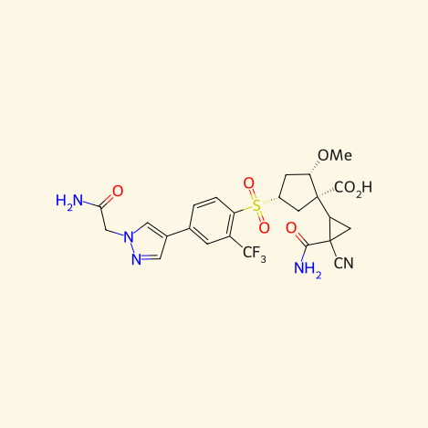 CO[C@H]1C[C@@H](S(=O)(=O)c2ccc(-c3cnn(CC(N)=O)c3)cc2C(F)(F)F)C[C@]1(C(=O)O)C1CC1(C#N)C(N)=O